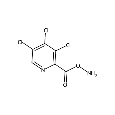 NOC(=O)c1ncc(Cl)c(Cl)c1Cl